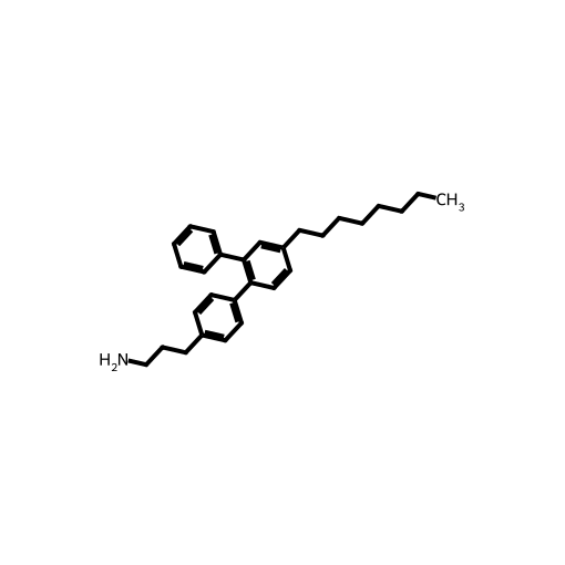 CCCCCCCCc1ccc(-c2ccc(CCCN)cc2)c(-c2ccccc2)c1